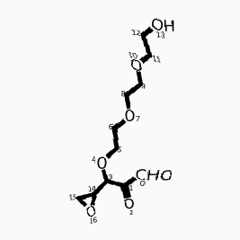 O=CC(=O)C(OCCOCCOCCO)C1CO1